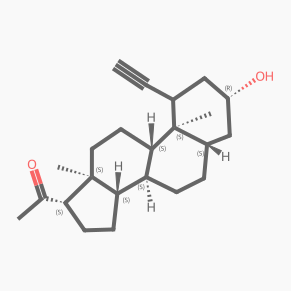 C#CC1C[C@H](O)C[C@@H]2CC[C@H]3[C@@H]4CC[C@H](C(C)=O)[C@@]4(C)CC[C@@H]3[C@@]12C